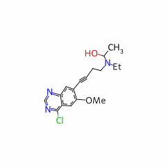 CCN(CCC#Cc1cc2ncnc(Cl)c2cc1OC)C(C)O